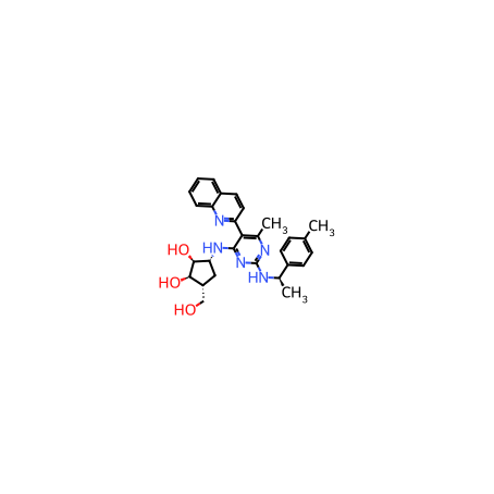 Cc1ccc([C@@H](C)Nc2nc(C)c(-c3ccc4ccccc4n3)c(N[C@@H]3C[C@H](CO)[C@@H](O)[C@H]3O)n2)cc1